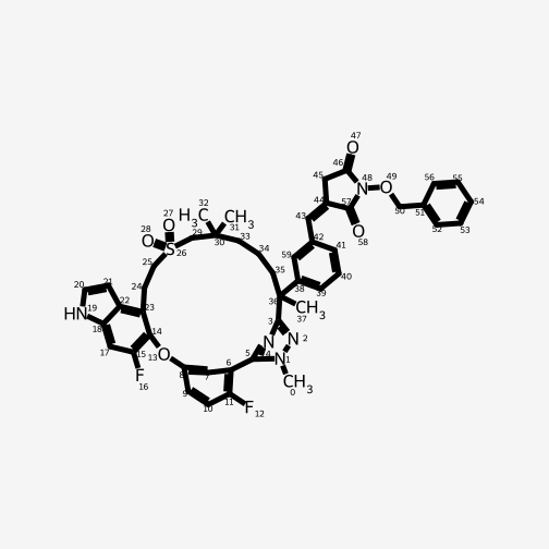 Cn1nc2nc1-c1cc(ccc1F)Oc1c(F)cc3[nH]ccc3c1CCS(=O)(=O)CC(C)(C)CCCC2(C)c1cccc(/C=C2/CC(=O)N(OCc3ccccc3)C2=O)c1